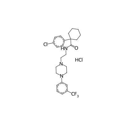 Cl.O=C(NCCN1CCN(c2cccc(C(F)(F)F)c2)CC1)C1(c2ccc(Cl)cc2)CCCCC1